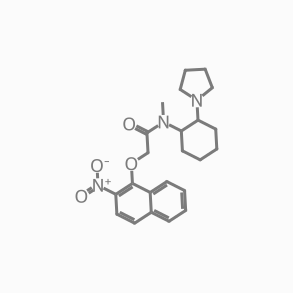 CN(C(=O)COc1c([N+](=O)[O-])ccc2ccccc12)C1CCCCC1N1CCCC1